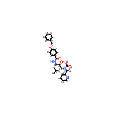 CC(C)C[C@H](NC(=O)c1ccc(OCc2ccccc2)cc1)C(=O)Cn1c(-c2ccccn2)noc1=O